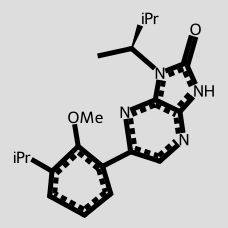 COc1c(-c2cnc3[nH]c(=O)n([C@@H](C)C(C)C)c3n2)cccc1C(C)C